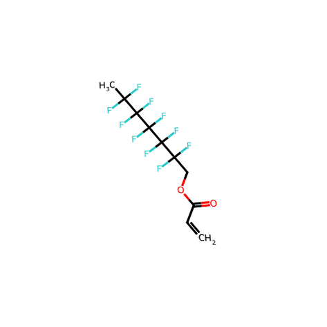 C=CC(=O)OCC(F)(F)C(F)(F)C(F)(F)C(F)(F)C(C)(F)F